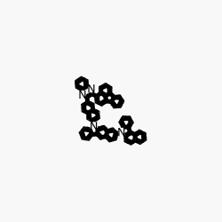 c1ccc2c(c1)-c1cccc3c(-c4nc5ccccc5nc4-c4ccc5cc(-n6c7ccccc7c7cc8ccc(-n9c%10ccccc%10c%10c%11ccccc%11ccc%109)cc8cc76)ccc5c4)ccc-2c13